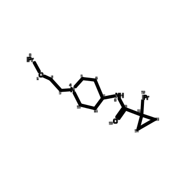 CC(C)OCCN1CCC(NC(=O)C2(C(C)C)CC2)CC1